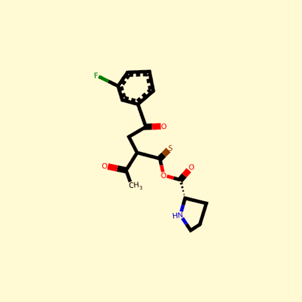 CC(=O)C(CC(=O)c1cccc(F)c1)C(=S)OC(=O)[C@@H]1CCCN1